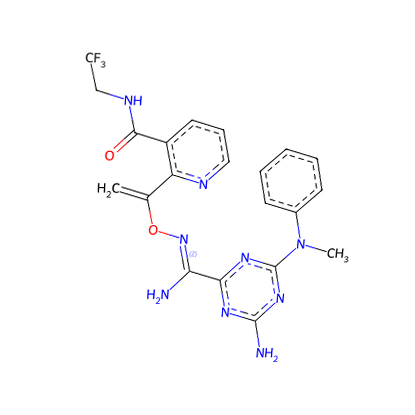 C=C(O/N=C(\N)c1nc(N)nc(N(C)c2ccccc2)n1)c1ncccc1C(=O)NCC(F)(F)F